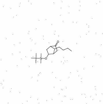 CCCCC1C2CC(O[Si](C)(C)C(C)(C)C)C1CC2=O